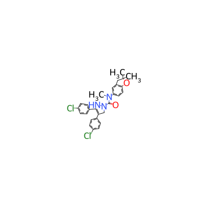 CN(C(=O)N1CC(c2ccc(Cl)cc2)=C(c2ccc(Cl)cc2)N1)c1ccc2c(c1)CC(C)(C)O2